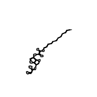 [CH2]CCCCCCCCCCCOC(=O)C(=O)O[C@@H]1COC2C1OC[C@H]2OC(=O)C=O